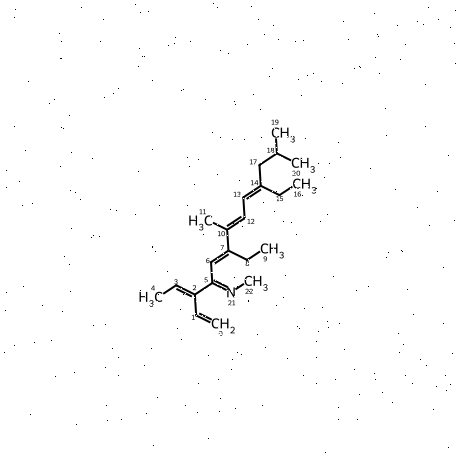 C=CC(=C\C)/C(/C=C(CC)/C(C)=C/C=C(\CC)CC(C)C)=N/C